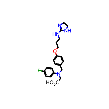 O=C(O)CN(Cc1ccc(OCCCNC2=NCCN2)cc1)c1ccc(F)cc1